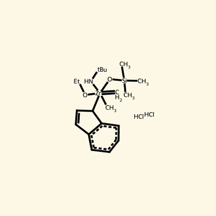 Cl.Cl.[CH2]=[Zr]([CH3])([NH]C(C)(C)C)([O]CC)([O][Si](C)(C)C)[CH]1C=Cc2ccccc21